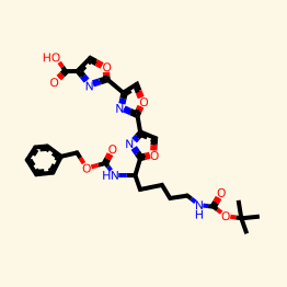 CC(C)(C)OC(=O)NCCCCC(NC(=O)OCc1ccccc1)c1nc(-c2nc(-c3nc(C(=O)O)co3)co2)co1